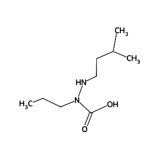 CCCN(NCCC(C)C)C(=O)O